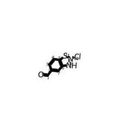 O=Cc1ccc2c(c1)NN(Cl)S2